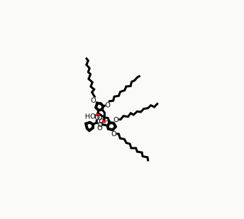 CCCCCCCCCCCCOc1cc(OCCCCCCCCCCCC)c(CC2(Cc3c(OCCCCCCCCCCCC)cc(OCCCCCCCCCCCC)cc3C(=O)O)COC(c3ccccc3)OC2)c(C(=O)O)c1